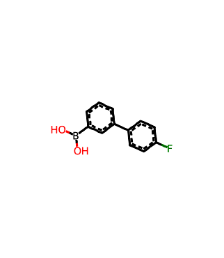 OB(O)c1cccc(-c2ccc(F)cc2)c1